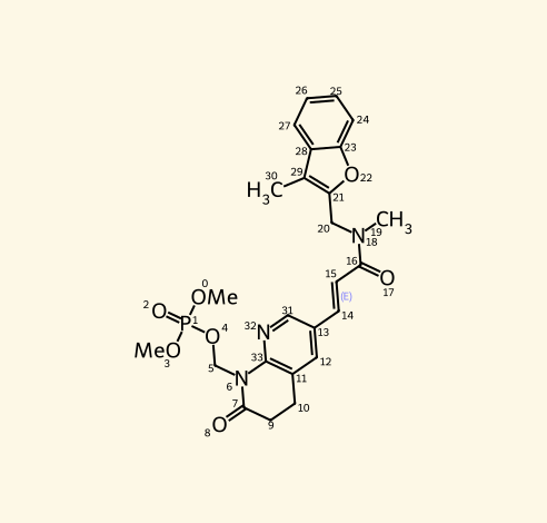 COP(=O)(OC)OCN1C(=O)CCc2cc(/C=C/C(=O)N(C)Cc3oc4ccccc4c3C)cnc21